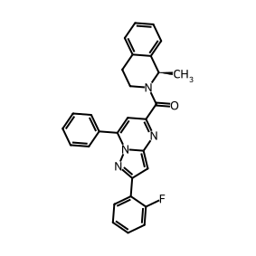 C[C@@H]1c2ccccc2CCN1C(=O)c1cc(-c2ccccc2)n2nc(-c3ccccc3F)cc2n1